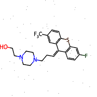 OCCN1CCN(CCC=C2c3ccc(F)cc3Sc3ccc(C(F)(F)F)cc32)CC1